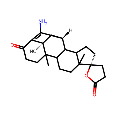 CC12CCC3C(C1CC[C@@]21CCC(=O)O1)[C@H]1C[C@]2(C#N)C(=C1N)C(=O)CCC32C